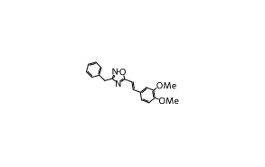 COc1ccc(C=Cc2nc(Cc3ccccc3)no2)cc1OC